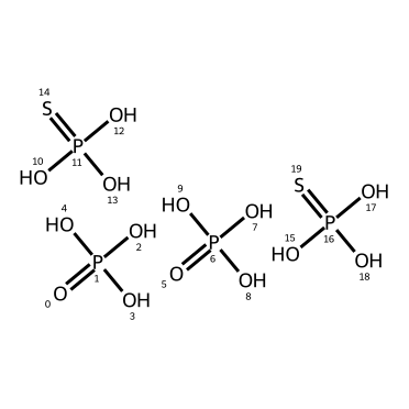 O=P(O)(O)O.O=P(O)(O)O.OP(O)(O)=S.OP(O)(O)=S